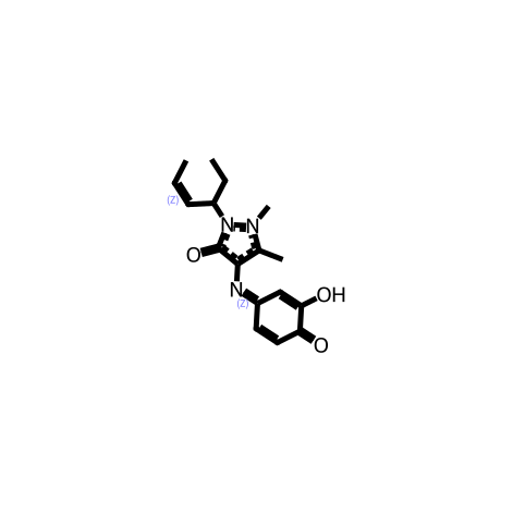 C/C=C\C(CC)n1c(=O)c(/N=C2/C=CC(=O)C(O)=C2)c(C)n1C